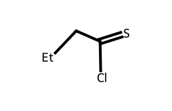 CCCC(=S)Cl